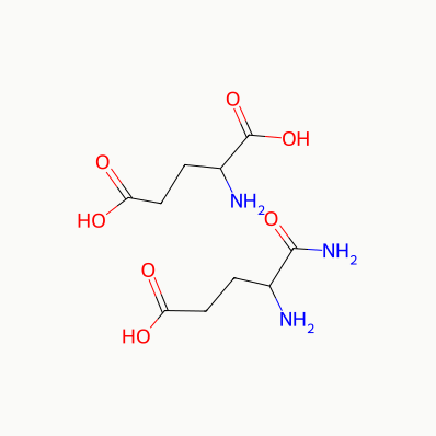 NC(=O)C(N)CCC(=O)O.NC(CCC(=O)O)C(=O)O